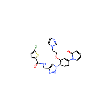 O=C(NCc1cn(-c2ccc(-n3ccccc3=O)cc2OCCn2ccnc2)nn1)c1ccc(Cl)s1